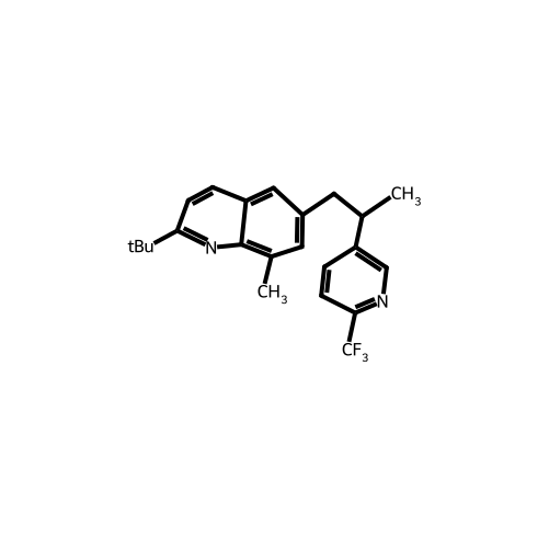 Cc1cc(CC(C)c2ccc(C(F)(F)F)nc2)cc2ccc(C(C)(C)C)nc12